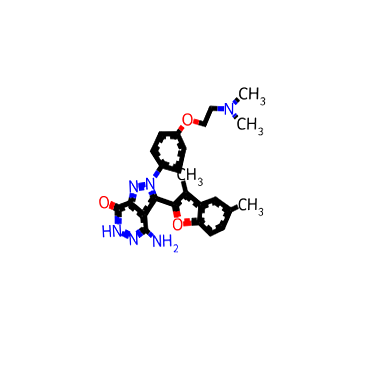 Cc1ccc2oc(-c3c4c(N)n[nH]c(=O)c4nn3-c3ccc(OCCN(C)C)cc3)c(C)c2c1